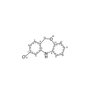 Clc1ccc2c(c1)Nc1ccccc1OC2